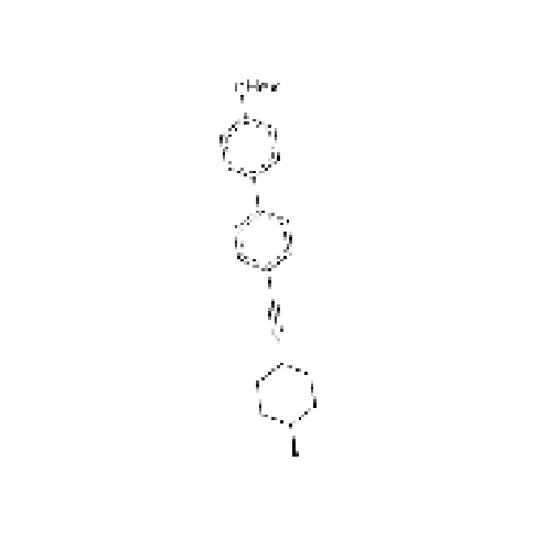 CCCCCCc1ccc(-c2ccc(C#C[C@H]3CC[C@H](C)CC3)cc2)cc1